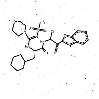 CCC(NC(=O)[C@H](CC1CCCCC1)N/C(=N/S(C)(=O)=O)N1CCOCC1)C(=O)c1nc2ccccc2o1